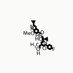 COc1cc(C(=O)NCC(O)(c2cc(C(C)CO)c(Cl)c(-c3ccc(F)cc3)n2)C2CC2)cc2cc(C3CC3)nnc12